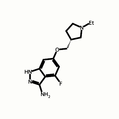 CCN1CC[C@@H](COc2cc(F)c3c(N)n[nH]c3c2)C1